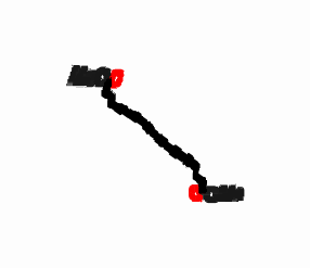 COC(=O)CCCC#CC#CC#CC#CC#CC#CCCCC(=O)OC